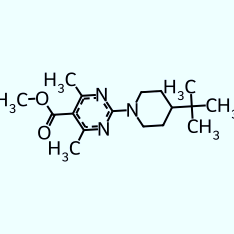 COC(=O)c1c(C)nc(N2CCC(C(C)(C)C)CC2)nc1C